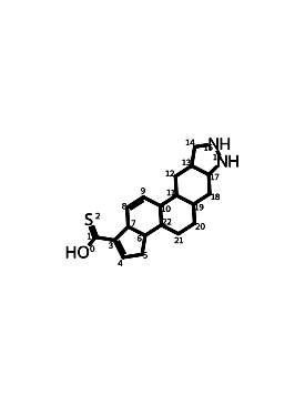 OC(=S)C1=CCC2C1C=CC1C3CC4CNNC4CC3CCC12